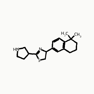 CC1(C)CCCc2cc(C3CSC(C4CCNC4)=N3)ccc21